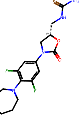 NC(=S)NC[C@H]1CN(c2cc(F)c(N3CCCSCC3)c(F)c2)C(=O)O1